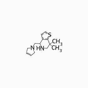 CC1(C)CNC(CN2CC=CC2)c2ccsc21